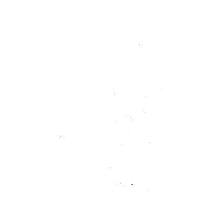 COC1=C2O[C@H]3C(=NNc4ccc([N+](=O)[O-])cc4[N+](=O)[O-])C=C[C@H]4[C@H]5CC(C=C1)C2[C@@]34CCN5C